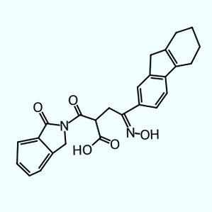 O=C(O)C(CC(=NO)c1ccc2c(c1)CC1=C2CCCC1)C(=O)N1Cc2ccccc2C1=O